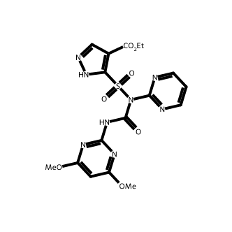 CCOC(=O)c1cn[nH]c1S(=O)(=O)N(C(=O)Nc1nc(OC)cc(OC)n1)c1ncccn1